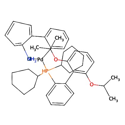 CC(C)Oc1cccc(OC(C)C)c1-c1ccccc1[PH](C1CCCCC1)(C1CCCCC1)[Pd]([Cl])[c]1ccccc1-c1ccccc1N